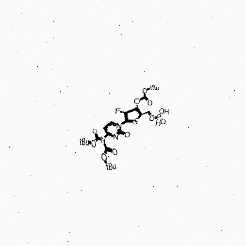 CC(C)(C)OC(=O)O[C@H]1[C@H](F)C(n2ccc(N(C(=O)OC(C)(C)C)C(=O)OC(C)(C)C)nc2=O)S[C@@H]1CO[PH](=O)O